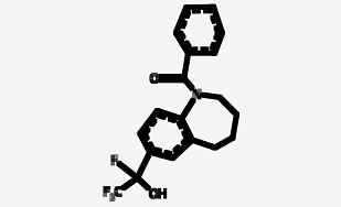 O=C(c1ccccc1)N1CCCCc2cc(C(O)(F)C(F)(F)F)ccc21